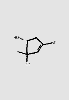 CCC1(C)C=C(Br)C[C@H]1O